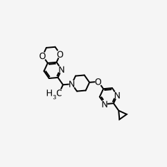 CC(c1ccc2c(n1)OCCO2)N1CCC(Oc2cnc(C3CC3)nc2)CC1